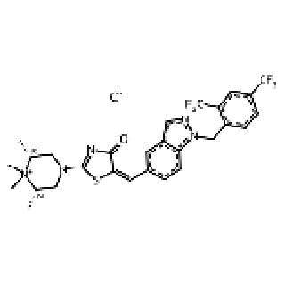 C[C@@H]1CN(C2=NC(=O)C(=Cc3ccc4c(cnn4Cc4ccc(C(F)(F)F)cc4C(F)(F)F)c3)S2)C[C@H](C)[N+]1(C)C.[Cl-]